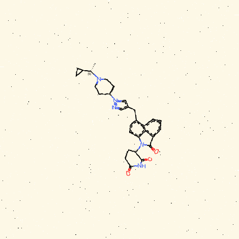 C[C@@H](C1CC1)N1CCC(n2cc(Cc3ccc4c5c(cccc35)C(=O)N4C3CCC(=O)NC3=O)cn2)CC1